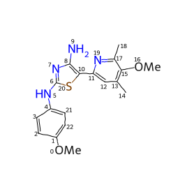 COc1ccc(Nc2nc(N)c(-c3cc(C)c(OC)c(C)n3)s2)cc1